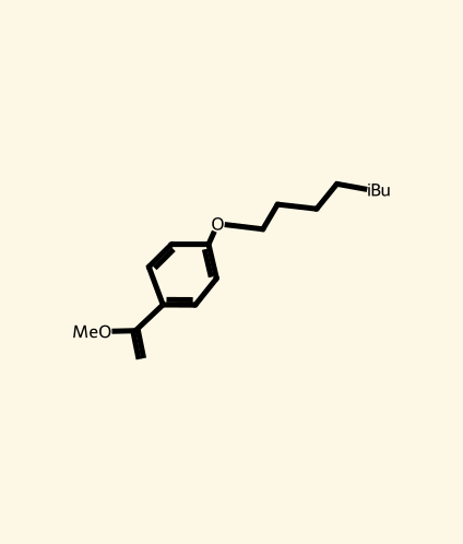 C=C(OC)c1ccc(OCCCCC(C)CC)cc1